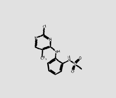 CS(=O)(=O)Nc1ccccc1Nc1nc(Cl)ncc1C(F)(F)F